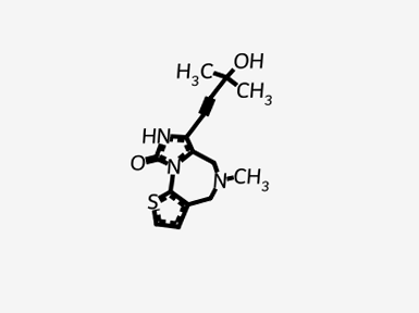 CN1Cc2ccsc2-n2c(c(C#CC(C)(C)O)[nH]c2=O)C1